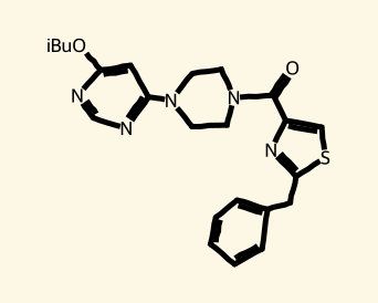 CC(C)COc1cc(N2CCN(C(=O)c3csc(Cc4ccccc4)n3)CC2)ncn1